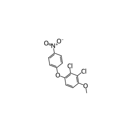 COc1ccc(Oc2ccc([N+](=O)[O-])cc2)c(Cl)c1Cl